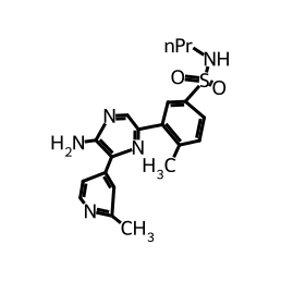 CCCNS(=O)(=O)c1ccc(C)c(-c2cnc(N)c(-c3ccnc(C)c3)n2)c1